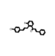 O=C(/C=C/c1ccccc1)c1[c]ccc(F)c1C/C=C/c1ccc(Cl)cc1